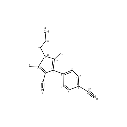 Cc1c(C#N)c(-c2ccc(C#N)cc2)c(C)n1CCO